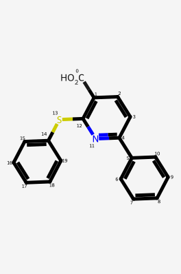 O=C(O)c1ccc(-c2ccccc2)nc1Sc1ccccc1